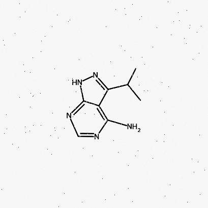 CC(C)c1n[nH]c2ncnc(N)c12